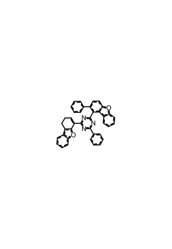 C1=C(c2nc(-c3ccccc3)nc(-c3c(-c4ccccc4)ccc4oc5ccccc5c34)n2)c2oc3ccccc3c2CC1